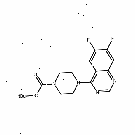 CC(C)(C)OC(=O)N1CCN(c2ncnc3cc(F)c(F)cc23)CC1